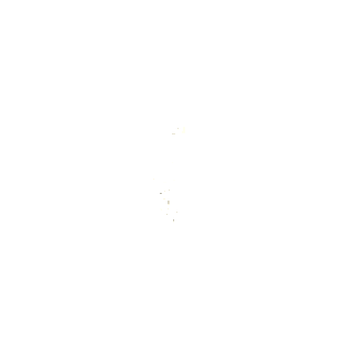 C[C@@H]1C[C@H]2[C@@H]3CCC4=CC(=O)C=C[C@]4(C)[C@@]3(F)[C@@H](O)C[C@]2(C)[C@@]1(O)C(=O)COC(=O)CCCCC(=O)NC1CCCC1